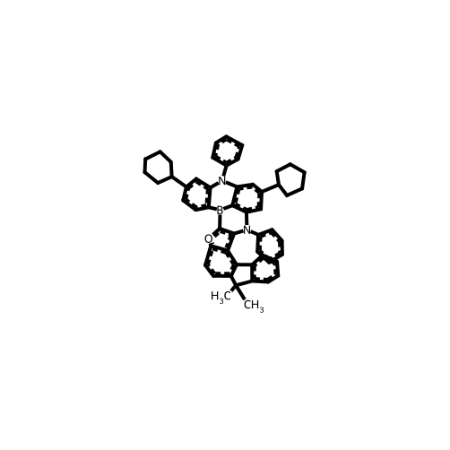 CC1(C)c2ccccc2-c2c1ccc1oc3c(c21)N(c1ccccc1)c1cc(C2CCCCC2)cc2c1B3c1ccc(C3CCCCC3)cc1N2c1ccccc1